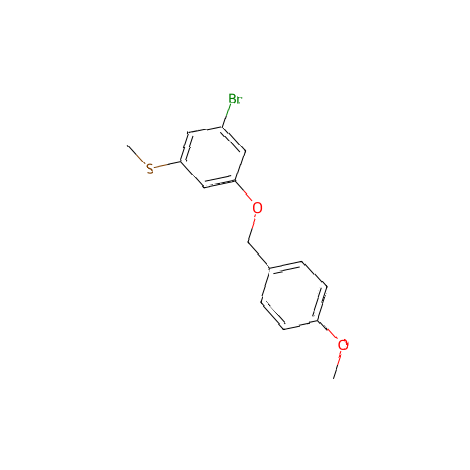 COc1ccc(COc2cc(Br)cc(SC)c2)cc1